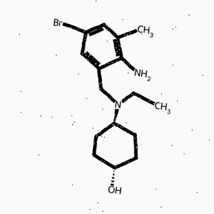 CCN(Cc1cc(Br)cc(C)c1N)[C@H]1CC[C@H](O)CC1